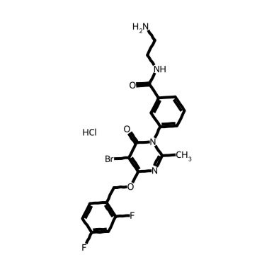 Cc1nc(OCc2ccc(F)cc2F)c(Br)c(=O)n1-c1cccc(C(=O)NCCN)c1.Cl